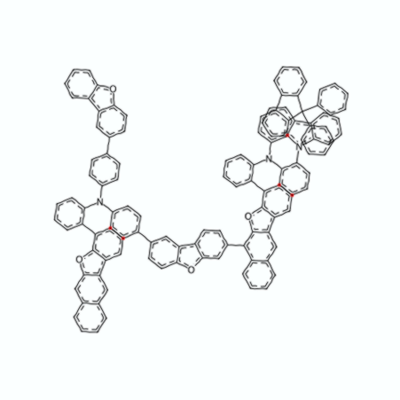 c1ccc(C2(c3ccccc3)c3ccccc3-c3ccc(N(c4ccccc4-c4cccc5c4oc4c(-c6ccc7c(c6)oc6ccc(-c8ccc(N(c9ccc(-c%10ccc%11oc%12ccccc%12c%11c%10)cc9)c9ccccc9-c9cccc%10c9oc9cc%11ccccc%11cc9%10)cc8)cc67)c6ccccc6cc45)c4ccccc4-n4c5ccccc5c5ccccc54)cc32)cc1